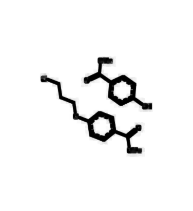 COC(=O)c1ccc(O)cc1.COC(=O)c1ccc(OCCCCl)cc1